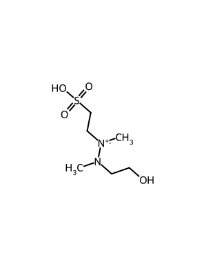 CN(CCO)[N+](C)CCS(=O)(=O)O